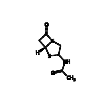 CC(=O)NC1CN2C(=O)C[C@H]2S1